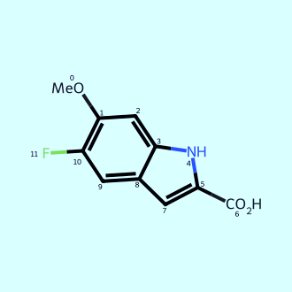 COc1cc2[nH]c(C(=O)O)cc2cc1F